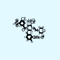 COC[C@@H]1CN(CCN2CCN(C(=O)c3cc(C(F)(F)F)cc(S(C)(=O)=O)c3)[C@H](Cc3ccc(C)c(O)c3)C2)CCO1.Cl.Cl